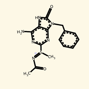 CC(=O)/N=S(\C)c1nc(N)c2[nH]c(=O)n(Cc3ccccc3)c2n1